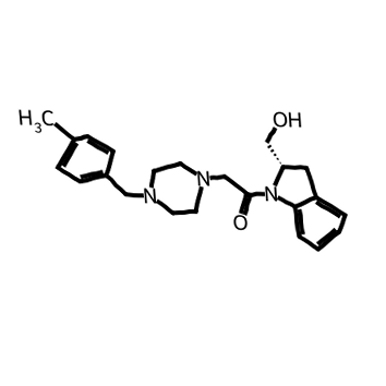 Cc1ccc(CN2CCN(CC(=O)N3c4ccccc4C[C@H]3CO)CC2)cc1